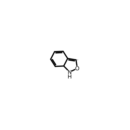 [C]1=C2C=CC=CC2NO1